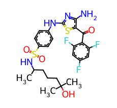 CC(CCCC(C)(C)O)NS(=O)(=O)c1ccc(Nc2nc(N)c(C(=O)c3c(F)cc(F)cc3F)s2)cc1